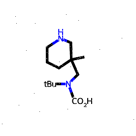 CC1(CN(C(=O)O)C(C)(C)C)CCCNC1